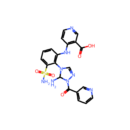 NC1N(C(=O)c2cccnc2)N=CN1c1c(Nc2ccncc2C(=O)O)cccc1S(N)(=O)=O